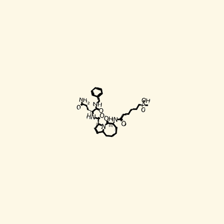 CP(=O)(O)CCCCCC(=O)N[C@H]1CCCCC2CC[C@@H](C(=O)N[C@@H](CCC(N)=O)C(=O)NCc3ccccc3)N2C1=O